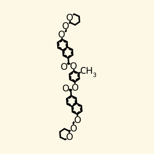 Cc1cc(OC(=O)c2ccc3cc(OCOC4CCCCO4)ccc3c2)ccc1OC(=O)c1ccc2cc(OCOC3CCCCO3)ccc2c1